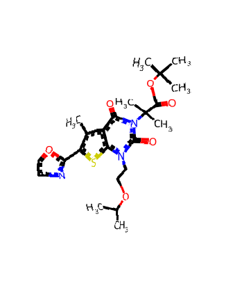 Cc1c(-c2ncco2)sc2c1c(=O)n(C(C)(C)C(=O)OC(C)(C)C)c(=O)n2CCOC(C)C